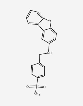 CS(=O)(=O)c1ccc(CNc2ccc3oc4ccccc4c3c2)cc1